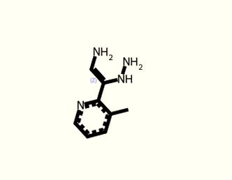 Cc1cccnc1/C(=C/N)NN